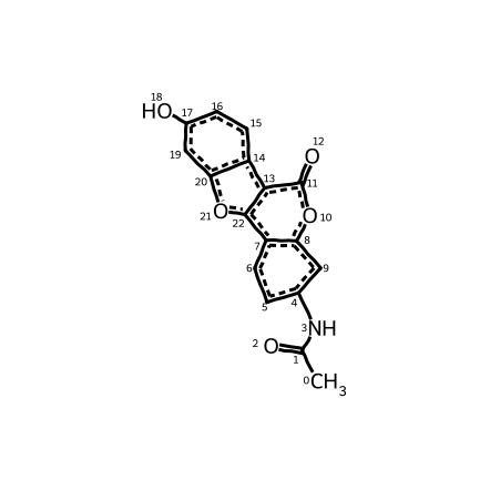 CC(=O)Nc1ccc2c(c1)oc(=O)c1c3ccc(O)cc3oc21